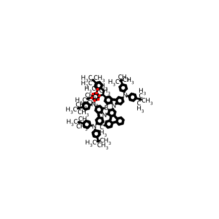 Cc1ccc2c3ccccc3c3cc4c5c(c3c2c1)-n1c2ccc(N(c3ccc(C(C)(C)C)cc3)c3ccc(C(C)(C)C)cc3)cc2c2cc(N(c3ccc(C(C)(C)C)cc3)c3ccc(C(C)(C)C)cc3)cc(c21)B5c1cc(C(Cc2ccc(C(C)(C)C)cc2)c2ccc(C(C)(C)C)cc2)cc2c3cc(N(c5ccc(C(C)(C)C)cc5)c5ccc(C(C)(C)C)cc5)ccc3n-4c12